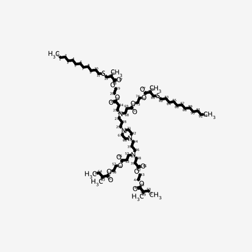 CCCCCCCCCCCCSCC(C)C(=O)OCCOC(=O)CCN(CCCN1CCN(CCCN(CCC(=O)OCCOC(=O)C(C)CC)CCC(=O)OCCOC(=O)C(C)CC)CC1)CCC(=O)OCCOC(=O)C(C)CSCCCCCCCCCCCC